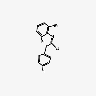 CCC(=Nc1c(C(C)C)cccc1C(C)C)Sc1ccc(Cl)cc1